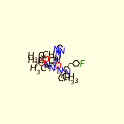 C[C@@H]1CN(c2ncccn2)CCN1C[C@H]1CN(C(=O)OC(C)(C)C)[C@H](C)CN1CC(=O)N1CC(C)(C)c2ncc(Cc3ccc(F)cc3)cc21